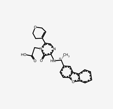 C[C@@H](Nc1ncc(C2=CCOCC2)n(CC(=O)O)c1=O)c1ccc2oc3ccccc3c2c1